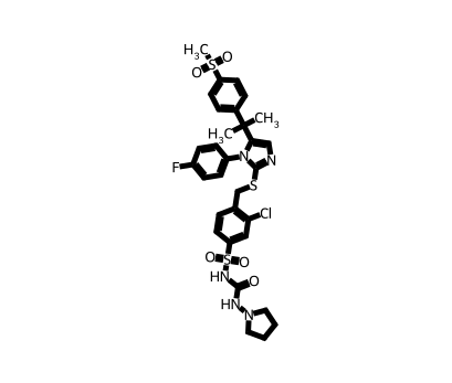 CC(C)(c1ccc(S(C)(=O)=O)cc1)c1cnc(SCc2ccc(S(=O)(=O)NC(=O)NN3CCCC3)cc2Cl)n1-c1ccc(F)cc1